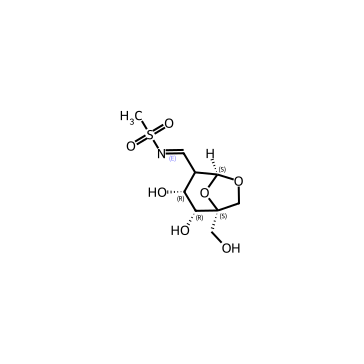 CS(=O)(=O)/N=C/C1[C@H]2OC[C@](CO)(O2)[C@H](O)[C@@H]1O